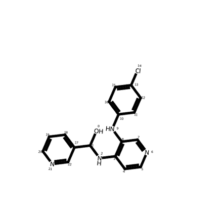 OC(Nc1ccncc1Nc1ccc(Cl)cc1)c1cccnc1